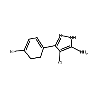 Nc1[nH]nc(C2=CC=C(Br)CC2)c1Cl